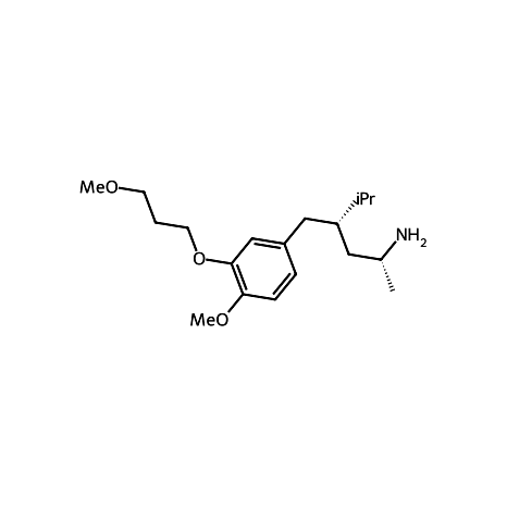 COCCCOc1cc(C[C@@H](C[C@@H](C)N)C(C)C)ccc1OC